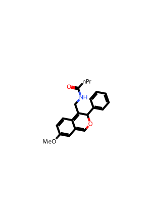 CCCC(=O)NCC1=c2ccc(OC)cc2=COC1c1ccccc1